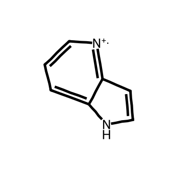 C1=C[N+]=c2cc[nH]c2=C1